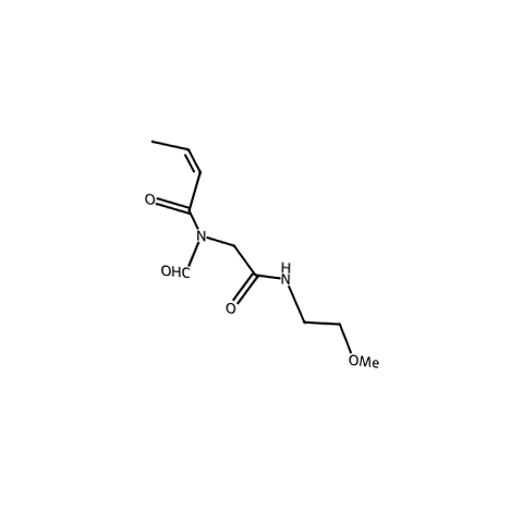 C/C=C\C(=O)N(C=O)CC(=O)NCCOC